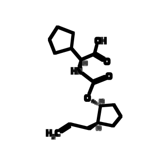 C=CC[C@@H]1CCC[C@H]1OC(=O)N[C@H](C(=O)O)C1CCCC1